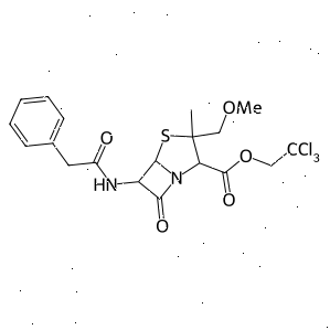 COCC1(C)SC2C(NC(=O)Cc3ccccc3)C(=O)N2C1C(=O)OCC(Cl)(Cl)Cl